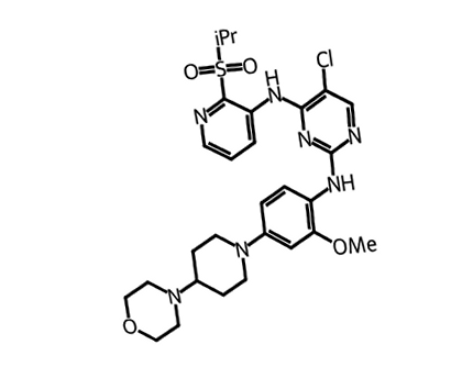 COc1cc(N2CCC(N3CCOCC3)CC2)ccc1Nc1ncc(Cl)c(Nc2cccnc2S(=O)(=O)C(C)C)n1